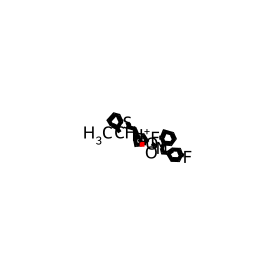 Cc1cccc(SCC[N+]23CCC(CC2)C(OC(=O)N(Cc2ccc(F)cc2)c2ccccc2F)C3)c1C